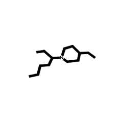 CCCCC(CC)N1CCC(CC)CC1